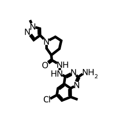 Cc1cc(Cl)cc2c(NNC(=O)C3CCCN(c4cnn(C)c4)C3)nc(N)nc12